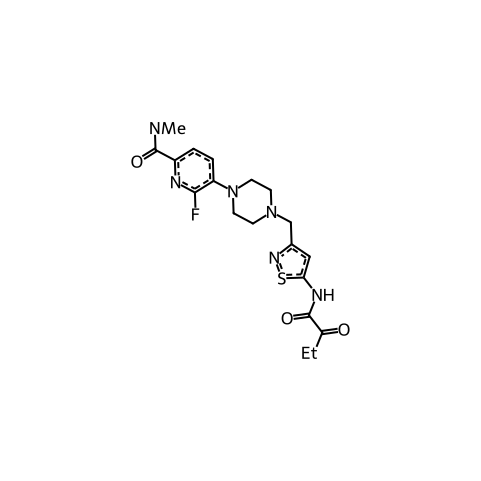 CCC(=O)C(=O)Nc1cc(CN2CCN(c3ccc(C(=O)NC)nc3F)CC2)ns1